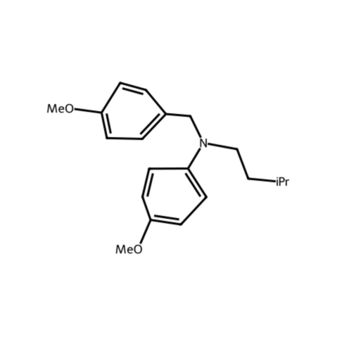 COc1ccc(CN(CCC(C)C)c2ccc(OC)cc2)cc1